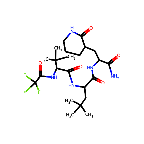 CC(C)(C)CC(NC(=O)C(NC(=O)C(F)(F)F)C(C)(C)C)C(=O)NC(CC1CCCNC1=O)C(N)=O